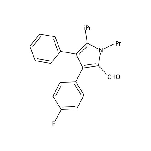 CC(C)c1c(-c2ccccc2)c(-c2ccc(F)cc2)c(C=O)n1C(C)C